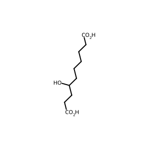 O=C(O)CCCCCC(O)CCC(=O)O